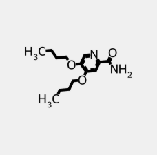 CCCCOc1cnc(C(N)=O)cc1OCCCC